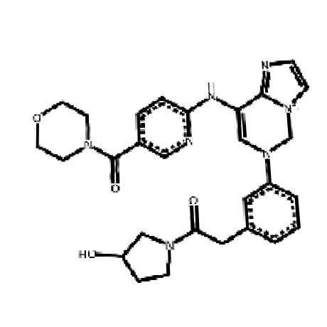 O=C(Cc1cccc(N2C=C(Nc3ccc(C(=O)N4CCOCC4)cn3)C3=NC=C[N+]3C2)c1)N1CCC(O)C1